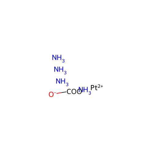 N.N.N.N.O=C([O-])[O-].[Pt+2]